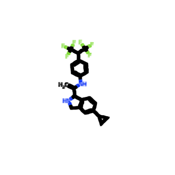 C=C(Nc1ccc(C(C(F)(F)F)C(F)(F)F)cc1)C1NCc2cc(C3CC3)ccc21